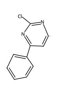 Clc1n[c]cc(-c2ccccc2)n1